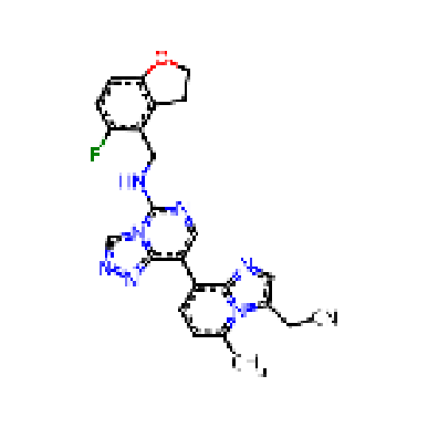 Cc1ccc(-c2cnc(NCc3c(F)ccc4c3CCO4)n3cnnc23)c2ncc(CC#N)n12